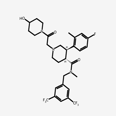 Cc1cc(F)ccc1[C@@H]1CN(CC(=O)N2CCC(O)CC2)CC[C@H]1C(=O)N(C)Cc1cc(C(F)(F)F)cc(C(F)(F)F)c1